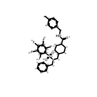 Cc1ccc(CNC(=O)C2CCC(CN(Cc3ccccc3)S(=O)(=O)c3c(F)c(F)c(F)c(F)c3F)CC2)cc1